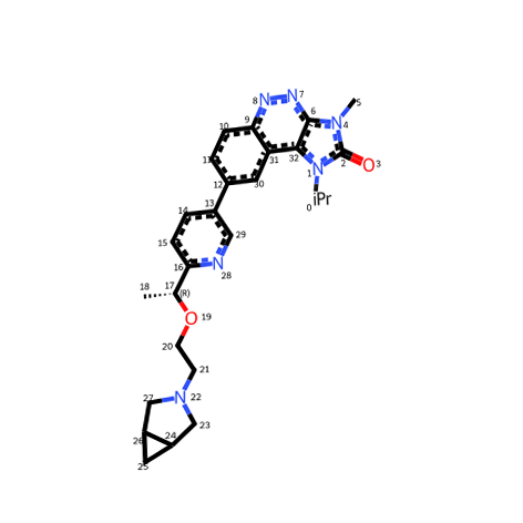 CC(C)n1c(=O)n(C)c2nnc3ccc(-c4ccc([C@@H](C)OCCN5CC6CC6C5)nc4)cc3c21